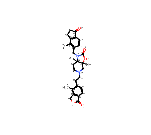 Cc1c(CN2C(=O)O[C@@H]3CN(CCc4ccc5c(c4C)COC5=O)CC[C@@H]32)ccc2c1CCC2=O